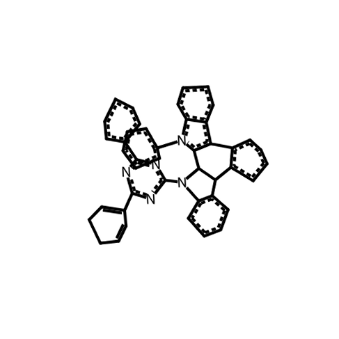 C1=CC(c2nc(-c3ccccc3)nc(N3c4ccccc4C4c5ccccc5-c5c(n(-c6ccccc6)c6ccccc56)C43)n2)=CCC1